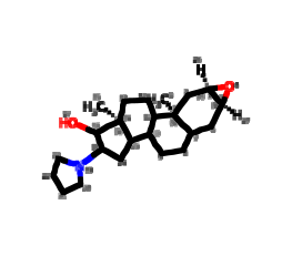 C[C@]12C[C@H]3O[C@H]3CC1CCC1C2CC[C@]2(C)C(O)C(N3CCCC3)CC12